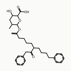 C=C(CCCCC(CCCCc1ccccc1)C(=O)Cc1ccccc1)OC1OC(C(=O)O)C(O)CC1C